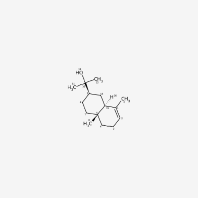 CC1=CCC[C@]2(C)CC[C@@H](C(C)(C)O)C[C@@H]12